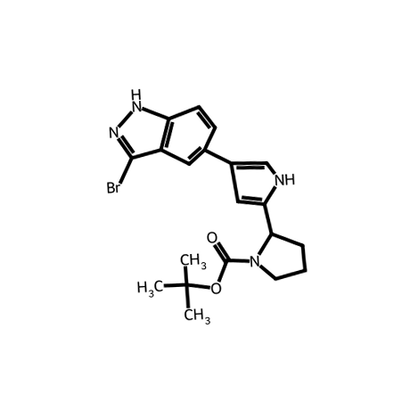 CC(C)(C)OC(=O)N1CCCC1c1cc(-c2ccc3[nH]nc(Br)c3c2)c[nH]1